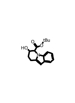 CC(C)(C)OC(=O)C1C(O)CCc2cc3ccccc3n21